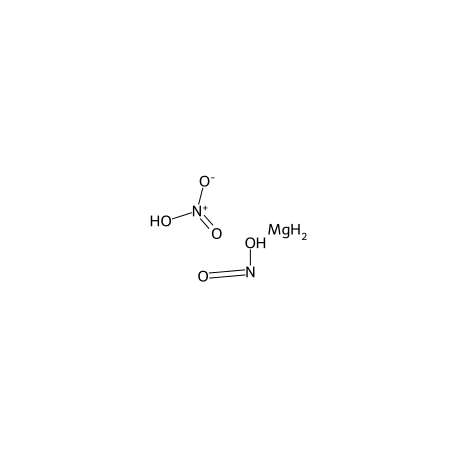 O=NO.O=[N+]([O-])O.[MgH2]